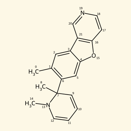 Cc1cc2c(cc1C1(C)C=CC=CN1C)oc1ccncc12